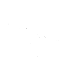 CC(C)(C)OC(=O)N1CCC[C@@H](n2nc(C3COc4ccccc4O3)c(C(N)=O)c2N)C1